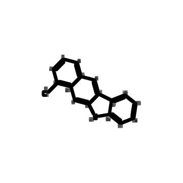 Clc1cccc2cc3c(cc12)sc1ccccc13